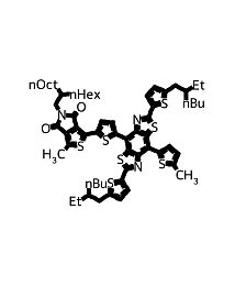 CCCCCCCCC(CCCCCC)CN1C(=O)c2c(C)sc(-c3ccc(-c4c5nc(-c6ccc(CC(CC)CCCC)s6)sc5c(-c5ccc(C)s5)c5nc(-c6ccc(CC(CC)CCCC)s6)sc45)s3)c2C1=O